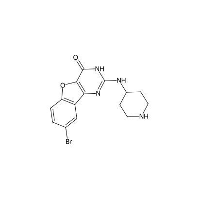 O=c1[nH]c(NC2CCNCC2)nc2c1oc1ccc(Br)cc12